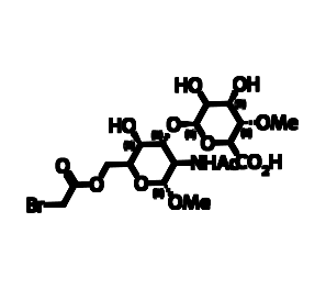 CO[C@@H]1OC(COC(=O)CBr)[C@@H](O)[C@H](O[C@@H]2OC(C(=O)O)[C@@H](OC)[C@H](O)C2O)C1NC(C)=O